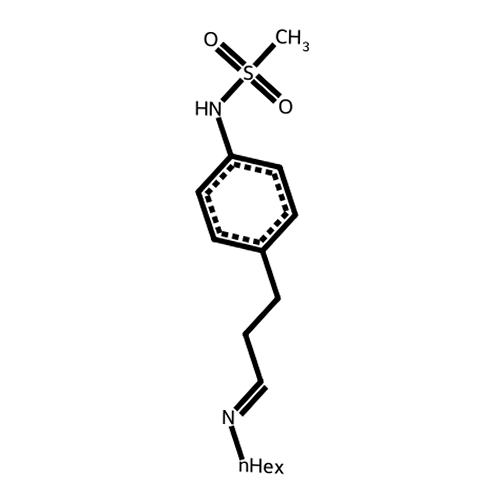 CCCCCCN=CCCc1ccc(NS(C)(=O)=O)cc1